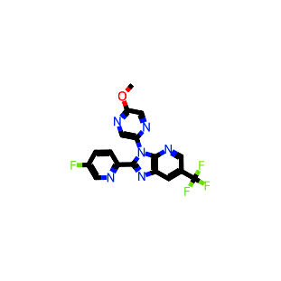 COc1cnc(-n2c(-c3ccc(F)cn3)nc3cc(C(F)(F)F)cnc32)cn1